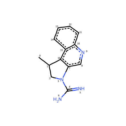 CC1CN(C(=N)N)c2cnc3ccccc3c21